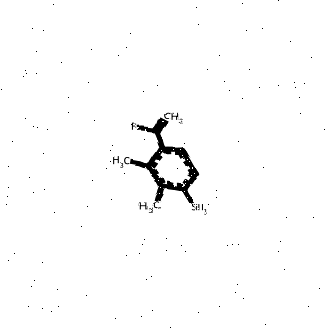 C=C(F)c1ccc([SiH3])c(C)c1C